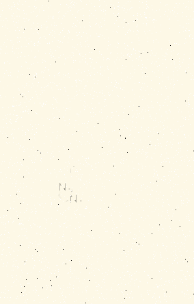 CCCCCCCCOC(CCCCCCCC)Cn1ccnc1